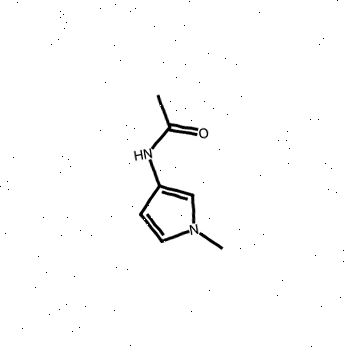 CC(=O)Nc1ccn(C)c1